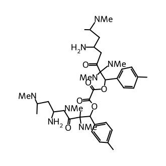 CNC(C)CC(N)CC(=O)C(NC)(NC)C(OC(=O)C(=O)OC(c1ccc(C)cc1)C(NC)(NC)C(=O)CC(N)CC(C)NC)c1ccc(C)cc1